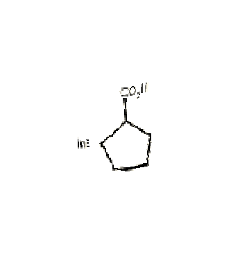 O=C(O)C1CCCC1.[In]